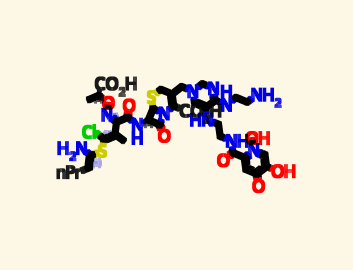 CCC/C=C(\N)S/C(Cl)=C(C)/C(=N/O[C@@H](C)C(=O)O)C(=O)N[C@@H]1C(=O)N2C(C(=O)O)=C(CN3C=C(NCCNC(=O)c4cc(=O)c(O)cn4O)C(NCCN)=NC3)CSC12